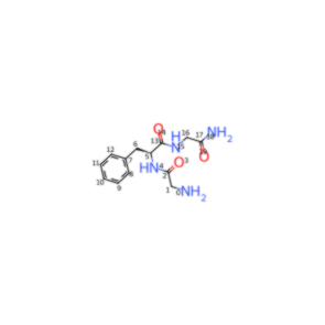 NCC(=O)N[C@@H](Cc1ccccc1)C(=O)NCC(N)=O